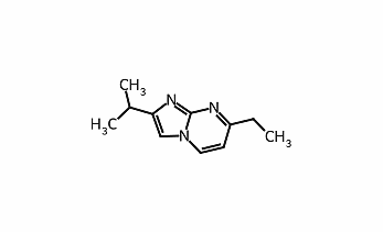 CCc1ccn2cc(C(C)C)nc2n1